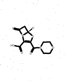 O=C(O)C1=C(C(=O)N2CCOCC2)S[C@H]2CC(=S)N12